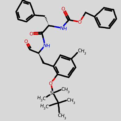 Cc1ccc(O[Si](C)(C)C(C)(C)C)c(C[C@@H](C=O)NC(=O)[C@H](Cc2ccccc2)NC(=O)OCc2ccccc2)c1